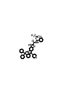 CN(C)C[C@@H](NC(=O)c1nc2cc3c(-c4ccncc4)nn(CC(c4ccccc4)(c4ccccc4)c4ccccc4)c3cc2[nH]1)c1ccccc1